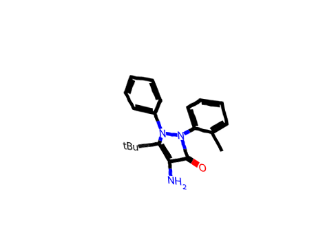 Cc1ccccc1-n1c(=O)c(N)c(C(C)(C)C)n1-c1ccccc1